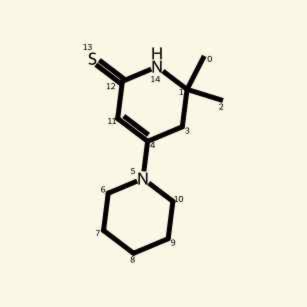 CC1(C)CC(N2CCCCC2)=CC(=S)N1